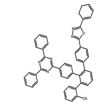 N#Cc1ccccc1-c1cccc(-c2ccc(-c3nnc(C4=CC=CCC4)o3)cc2)c1-c1ccc(-c2nc(-c3ccccc3)nc(-c3ccccc3)n2)cc1